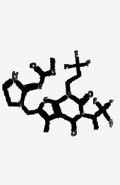 COC(=O)N=C1NCCN1Cc1sc2c(c1C)c(=O)n(C(C)C(F)(F)F)c(=O)n2CCC(F)(F)F